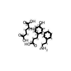 NCCc1ccccc1.N[C@@H](CCC(=O)O)C(=O)O.O=C(O)CCc1ccc(O)cc1